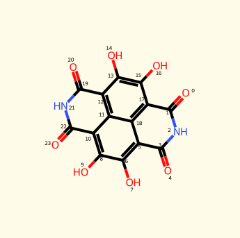 O=C1NC(=O)c2c(O)c(O)c3c4c(c(O)c(O)c1c24)C(=O)NC3=O